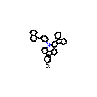 CCC1CC2CCCC(C1)C21c2ccccc2-c2c(N(c3cccc(-c4cccc5ccccc45)c3)c3ccc4c(c3)C3(CCCCC3)c3ccccc3-4)cccc21